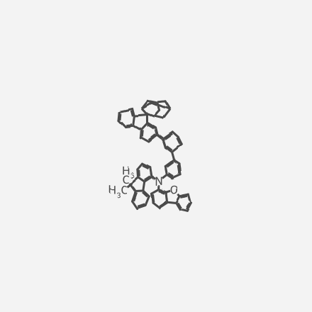 CC1(C)c2ccccc2-c2c(N(c3cccc(-c4cccc(-c5ccc6c(c5)C5(c7ccccc7-6)C6CC7CC(C6)CC5C7)c4)c3)c3cccc4c3oc3ccccc34)cccc21